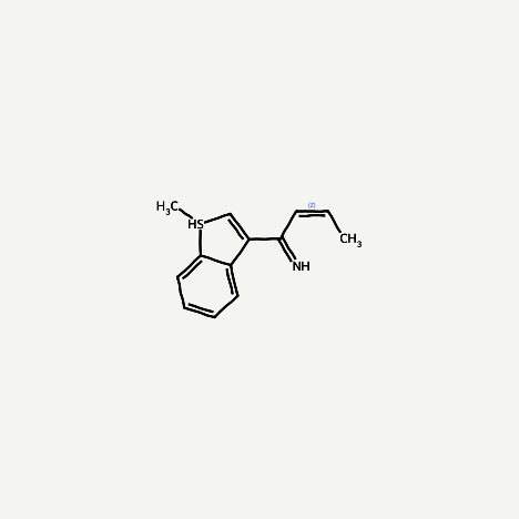 C/C=C\C(=N)C1=C[SH](C)c2ccccc21